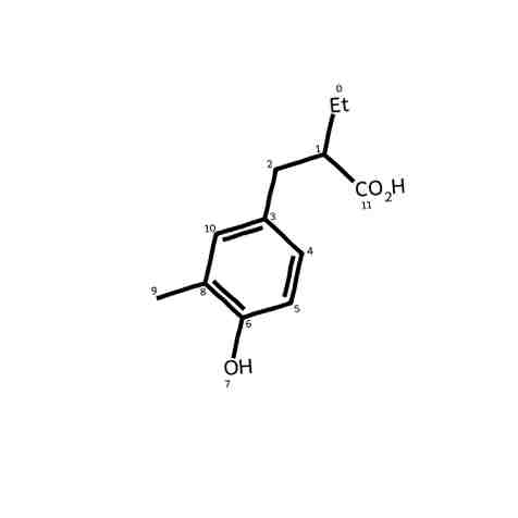 CCC(Cc1ccc(O)c(C)c1)C(=O)O